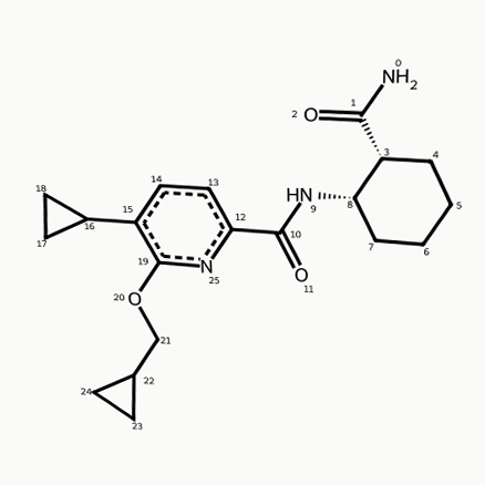 NC(=O)[C@@H]1CCCC[C@@H]1NC(=O)c1ccc(C2CC2)c(OCC2CC2)n1